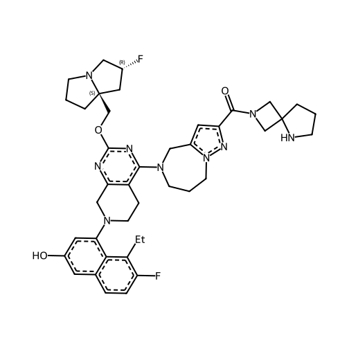 CCc1c(F)ccc2cc(O)cc(N3CCc4c(nc(OC[C@@]56CCCN5C[C@H](F)C6)nc4N4CCCn5nc(C(=O)N6CC7(CCCN7)C6)cc5C4)C3)c12